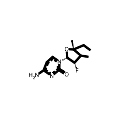 CC[C@@]1(C)O[C@@H](n2ccc(N)nc2=O)[C@@H](F)C1C